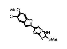 COc1cc2oc(-c3cn4c(n3)SC(SC)N4)cc2cc1Cl